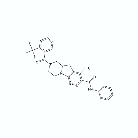 Cc1c(C(=O)Nc2ccccc2)nnc2c1CC1CN(C(=O)c3ccccc3C(F)(F)F)CCN21